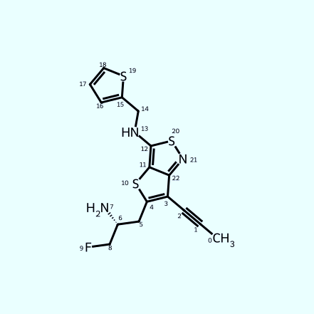 CC#Cc1c(C[C@@H](N)CF)sc2c(NCc3cccs3)snc12